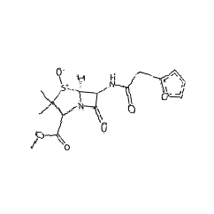 COC(=O)C1N2C(=O)C(NC(=O)Cc3ccco3)[C@@H]2[S+]([O-])C1(C)C